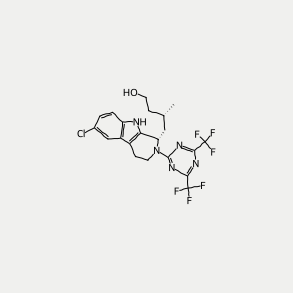 C[C@@H](CCO)C[C@H]1c2[nH]c3ccc(Cl)cc3c2CCN1c1nc(C(F)(F)F)nc(C(F)(F)F)n1